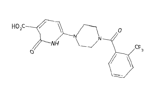 O=C(O)c1ccc(N2CCN(C(=O)c3ccccc3C(F)(F)F)CC2)[nH]c1=O